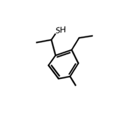 CCc1cc(C)ccc1C(C)S